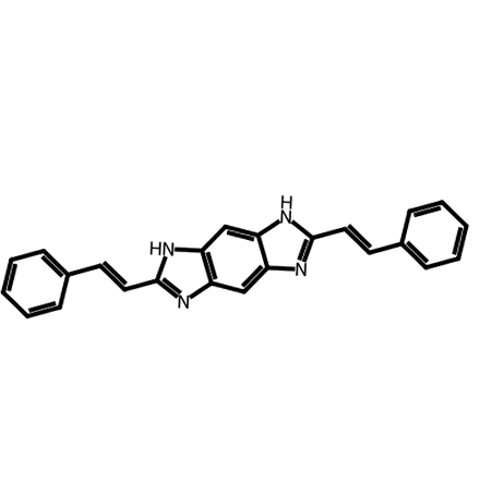 C(=Cc1nc2cc3nc(C=Cc4ccccc4)[nH]c3cc2[nH]1)c1ccccc1